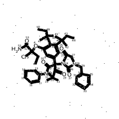 CCC(Cl)(Oc1cc(C(C(=O)Nc2ccccc2)(C(=O)C(C)(C)C)N2C(=O)CN(Cc3ccccc3)C2=O)cc(C(C)(C)CC)c1C(C)(C)CC)C(N)=O